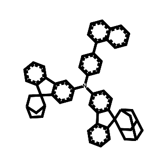 c1ccc2c(c1)-c1cc(N(c3ccc(-c4cccc5ccccc45)cc3)c3ccc4c(c3)-c3ccccc3C43C4CC5CC(C4)CC3C5)ccc1C21CC2CCC1C2